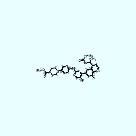 CC(NC(=O)OC(C)(C)C)c1ccnc2c(F)cc(-c3nc(Nc4ccc(N5CCN(C(=O)OC(C)(C)C)CC5)cn4)ncc3F)cc12